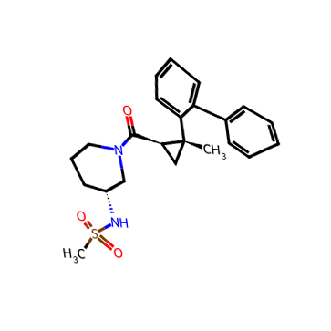 C[C@@]1(c2ccccc2-c2ccccc2)C[C@H]1C(=O)N1CCC[C@@H](NS(C)(=O)=O)C1